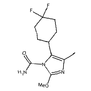 COc1nc(C)c(C2CCC(F)(F)CC2)n1C(N)=O